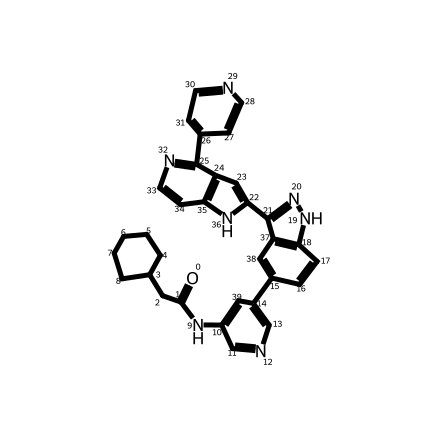 O=C(CC1CCCCC1)Nc1cncc(-c2ccc3[nH]nc(-c4cc5c(-c6ccncc6)nccc5[nH]4)c3c2)c1